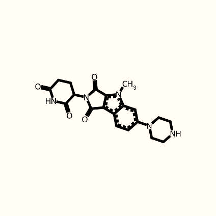 Cn1c2c(c3ccc(N4CCNCC4)cc31)C(=O)N(C1CCC(=O)NC1=O)C2=O